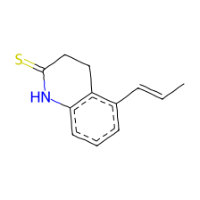 CC=Cc1cccc2c1CCC(=S)N2